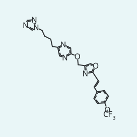 FC(F)(F)Oc1ccc(C=Cc2nc(COc3cnc(CCCCn4cncn4)cn3)co2)cc1